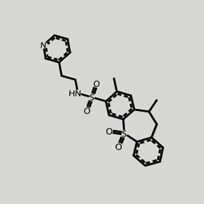 Cc1cc2c(cc1S(=O)(=O)NCCc1cccnc1)S(=O)(=O)c1ccccc1CC2C